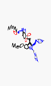 CNC(=O)Nc1ccc2c(c1)C(=O)C(=Cc1c(N3CCN(C)CC3)n(CCN3CCN(C)CC3)c3ccc(OC)cc13)O2